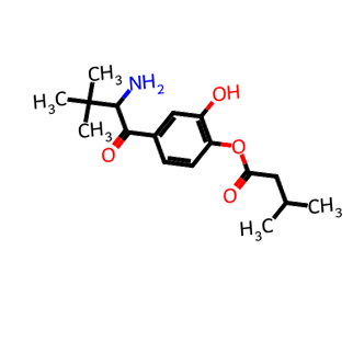 CC(C)CC(=O)Oc1ccc(C(=O)C(N)C(C)(C)C)cc1O